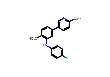 COc1ccc(-c2ccc(C(=O)O)c(Nc3ccc(F)cc3)c2)cn1